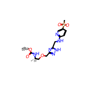 C[C@@H](COCc1n[nH]c(CNc2ccc(S(C)(=O)=O)cn2)n1)NC(=O)OC(C)(C)C